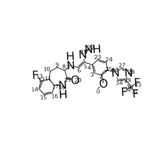 COc1cc(/C(=C/NC2CCC3C(F)=CC=CC3NC2=O)N=N)ccc1-n1cnc(C(F)(F)F)c1